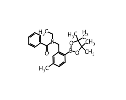 CCN(Cc1cc(C)ccc1B1OC(C)(C)C(C)(C)O1)C(=O)c1ccccc1